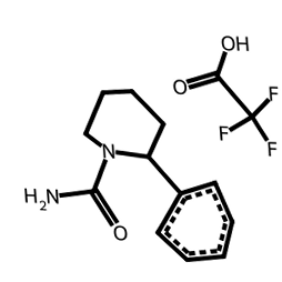 NC(=O)N1CCCCC1c1ccccc1.O=C(O)C(F)(F)F